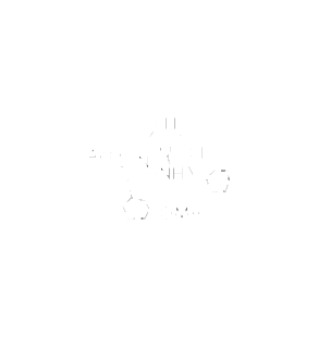 C=CCN1CC2(OC(C)=O)CCCC[C@@]2(c2cccc(OC)c2)C[C@H]1NC(=O)C(=Cc1ccccc1)C(F)(F)F